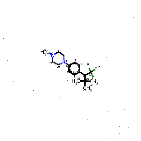 CN1CCN(c2ccc(C(C(C)(C)C)C(F)(F)F)cc2)CC1